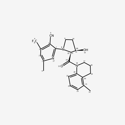 Cc1cc(C(F)(F)F)c(C#N)c(N2CC[C@@H](O)[C@H]2C(=O)N2CCCc3c(C)cccc32)n1